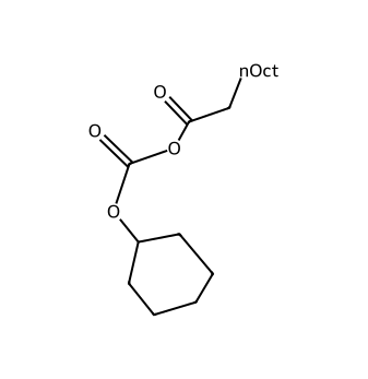 CCCCCCCCCC(=O)OC(=O)OC1CCCCC1